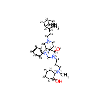 CN(CCCN1CN(c2ccccc2)C2(CCN(CCC3CCC4CC3C4(C)C)CC2)C1=O)C1CCCC[C@@H]1O